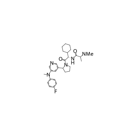 CNC(C)C(=O)N[C@H](C(=O)N1CCCC1c1cncc(N(C)c2ccc(F)cc2)c1)C1CCCCC1